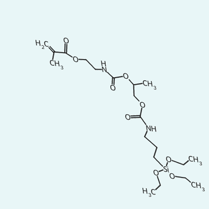 C=C(C)C(=O)OCCNC(=O)OC(C)COC(=O)NCCC[Si](OCC)(OCC)OCC